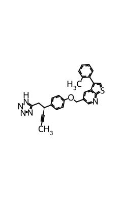 CC#C[C@@H](Cc1nnn[nH]1)c1ccc(OCc2cnc3scc(-c4ccccc4C)c3c2)cc1